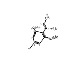 COc1cc(C)cc(OC)c1C(N)=NO